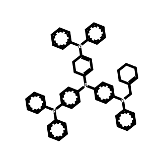 C1=C(CN(c2ccccc2)c2ccc(N(C3=CC=C(N(c4ccccc4)c4ccccc4)CC3)c3ccc(N(c4ccccc4)c4ccccc4)cc3)cc2)CCCC1